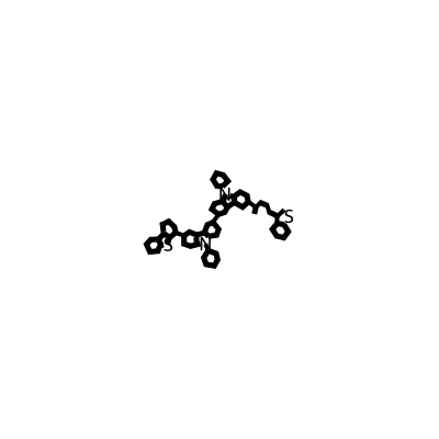 C=C(/C=C\C=C1/CSc2ccccc21)c1ccc2c(c1)c1cc(-c3ccc4c(c3)c3cc(-c5cccc6c5sc5ccccc56)ccc3n4-c3ccccc3)ccc1n2-c1ccccc1